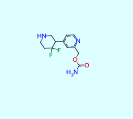 NC(=O)OCc1cc(C2CNCCC2(F)F)ccn1